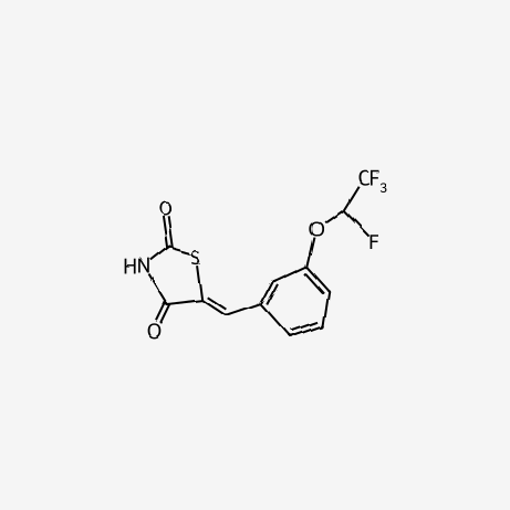 O=C1NC(=O)C(=Cc2cccc(OC(F)C(F)(F)F)c2)S1